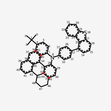 CC(C)(C)c1ccc(N(c2ccc(-c3cccc4sc5ccccc5c34)cc2)c2ccccc2-c2cccc3cccc(C4CCCCC4)c23)cc1